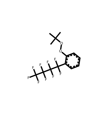 CC(C)(C)OOc1ccccc1C(F)(F)C(F)(F)C(F)(F)C(F)(F)F